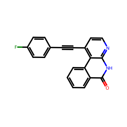 O=c1[nH]c2nccc(C#Cc3ccc(F)cc3)c2c2ccccc12